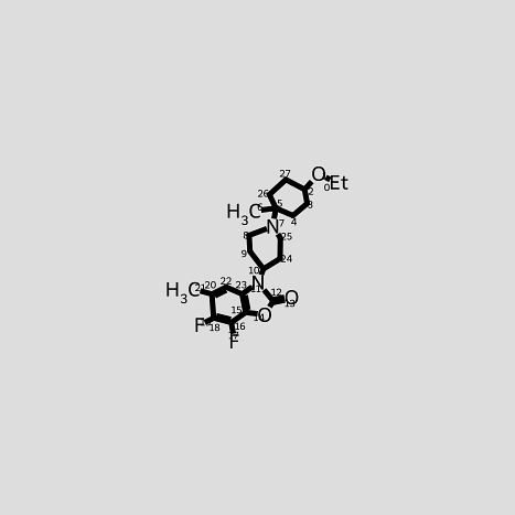 CCOC1CCC(C)(N2CCC(n3c(=O)oc4c(F)c(F)c(C)cc43)CC2)CC1